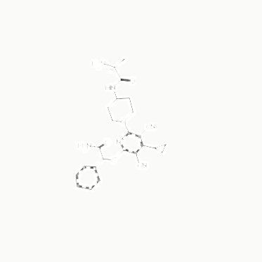 C[C@H](N)C(=O)NC1CCN(c2nc(SC(C(N)=O)c3ccccc3)c(C#N)c(C3CC3)c2C#N)CC1